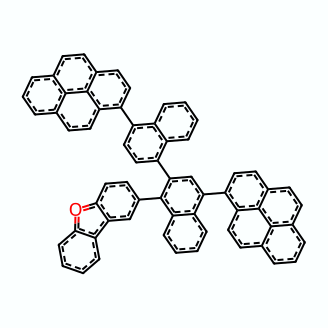 c1cc2ccc3ccc(-c4ccc(-c5cc(-c6ccc7ccc8cccc9ccc6c7c89)c6ccccc6c5-c5ccc6oc7ccccc7c6c5)c5ccccc45)c4ccc(c1)c2c34